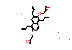 C=CCc1cc2c(CC=C)c(OCC3CO3)ccc2c(CC=C)c1OCC1CO1